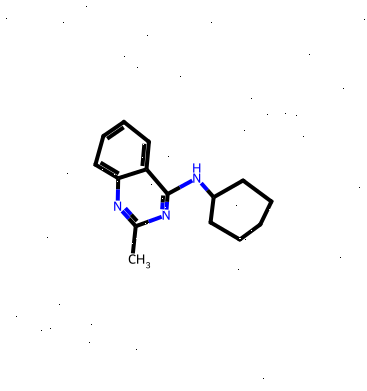 Cc1nc(NC2CCCCC2)c2ccccc2n1